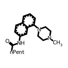 CCCCCC(=O)Nc1ccc2cccc(N3CCN(C)CC3)c2c1